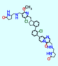 COc1nc(C[C@@H]2CCc3c(-c4cccc(-c5ccn6c(=O)c(CNCC7CCC(=O)N7)cnc6c5)c4Cl)cccc32)c(Cl)cc1CNCC1CCC(=O)N1